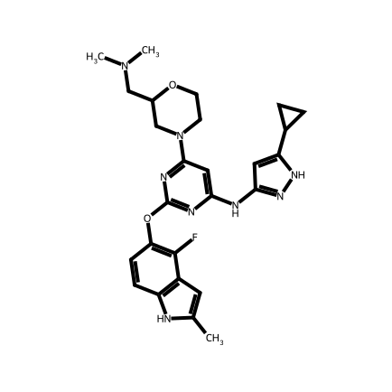 Cc1cc2c(F)c(Oc3nc(Nc4cc(C5CC5)[nH]n4)cc(N4CCOC(CN(C)C)C4)n3)ccc2[nH]1